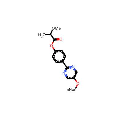 CCCCCCCCCOc1cnc(-c2ccc(OC(=O)C(C)OC)cc2)nc1